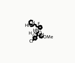 COc1ccc([C@H](c2ccc(Cl)cc2)[C@H](N)C(=O)Nc2cccc(F)c2CCC2CCNC3CCCN2CC3)cn1